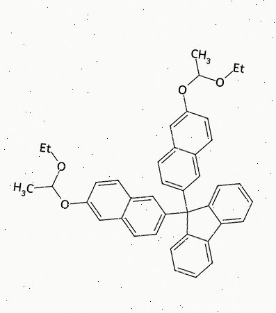 CCOC(C)Oc1ccc2cc(C3(c4ccc5cc(OC(C)OCC)ccc5c4)c4ccccc4-c4ccccc43)ccc2c1